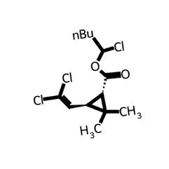 CCCCC(Cl)OC(=O)[C@H]1[C@H](C=C(Cl)Cl)C1(C)C